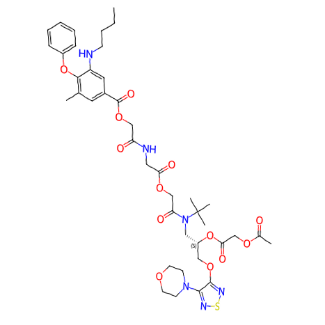 CCCCNc1cc(C(=O)OCC(=O)NCC(=O)OCC(=O)N(C[C@@H](COc2nsnc2N2CCOCC2)OC(=O)COC(C)=O)C(C)(C)C)cc(C)c1Oc1ccccc1